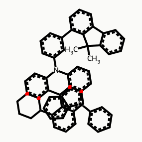 CC1(C)c2ccccc2-c2cccc(-c3cccc(N(c4ccccc4-c4cccc5cccc(C6CCCCC6)c45)c4cccc5c4c4ccccc4n5-c4ccccc4)c3)c21